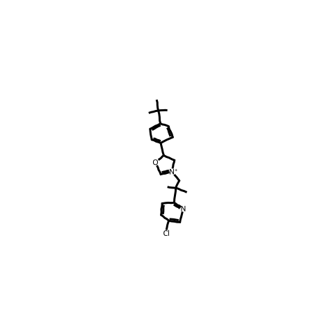 CC(C)(C)c1ccc(C2C[N+](CC(C)(C)c3ccc(Cl)cn3)=CO2)cc1